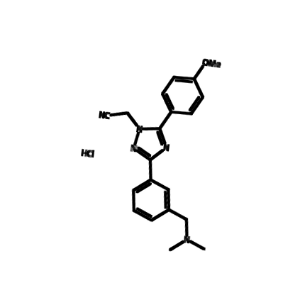 COc1ccc(-c2nc(-c3cccc(CN(C)C)c3)nn2CC#N)cc1.Cl